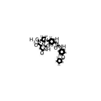 CN(C(=O)C1CC(=O)NC(=O)N1)C1CCN(c2ccc(NC(=O)Nc3ccc(OC4CCCC4)cc3)cc2)C1